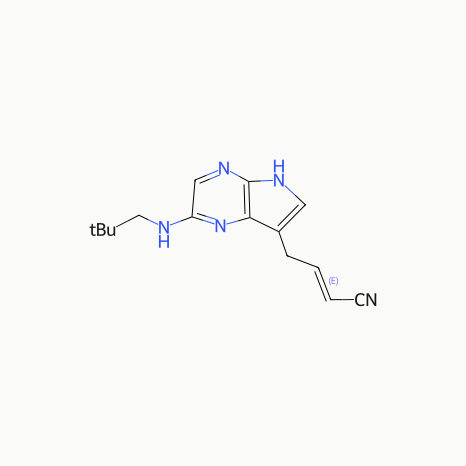 CC(C)(C)CNc1cnc2[nH]cc(C/C=C/C#N)c2n1